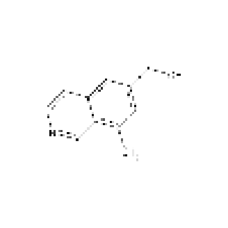 Cc1cc(CO)cc2ccncc12